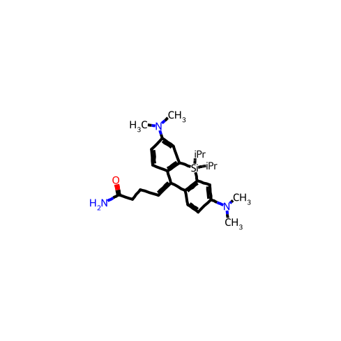 CC(C)[Si]1(C(C)C)c2cc(N(C)C)ccc2C(=CCCC(N)=O)c2ccc(N(C)C)cc21